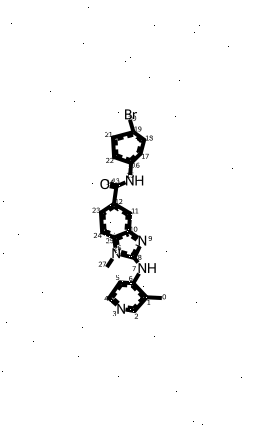 Cc1cnccc1Nc1nc2cc(C(=O)Nc3ccc(Br)cc3)ccc2n1C